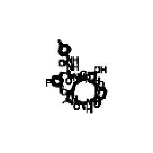 Cc1ccc(NC(=O)N[C@@H](Cc2cc(F)cc(F)c2)C(=O)N[C@H]2CC3C(=O)C34C[C@@H](C)CN4C(=O)[C@H](C)NC(=O)[C@@H]3CCCCN3C(=O)[C@@H]3C[C@@H](O)CN3C2=O)cc1